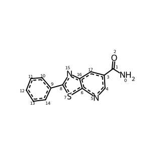 NC(=O)c1cnc2sc(-c3ccccc3)nc2c1